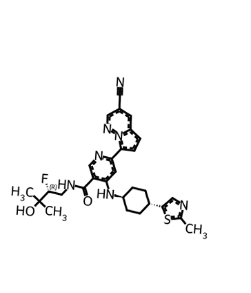 Cc1ncc([C@H]2CC[C@H](Nc3cc(-c4ccc5cc(C#N)cnn45)ncc3C(=O)NC[C@@H](F)C(C)(C)O)CC2)s1